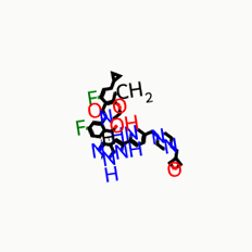 C=CC1=C(/C(F)=C\CC2CC2)C(=O)N(C2=CC(F)=C[C@@H](C3=NCNC4NC(C5=CC=C(CN6CCN(CC7COC7)CC6)CN5)=C[C@H]34)C2CO)CCO1